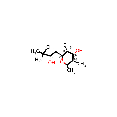 CC1O[C@@H](C[C@H](O)C(C)(C)C)[C@H](C)[C@H](O)[C@H]1C